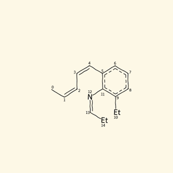 C/C=C\C=C/c1cccc(CC)c1/N=C\CC